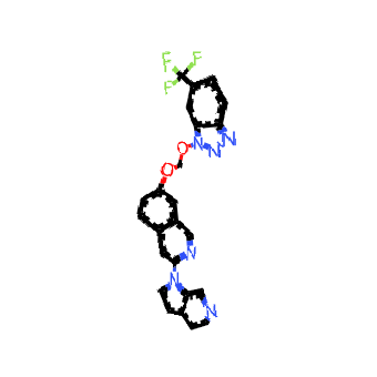 FC(F)(F)c1ccc2nnn(OCOc3ccc4cc(-n5ccc6ccncc65)ncc4c3)c2c1